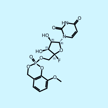 COc1cccc2c1OP(=O)(OC[C@@]1(F)O[C@@H](n3ccc(=O)[nH]c3=O)[C@H](O)[C@@H]1O)OC2